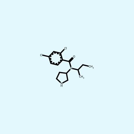 CCC(C)N(C(=O)c1ccc(Cl)cc1Cl)C1CCNC1